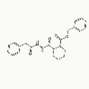 O=C(Cc1ccccc1)NNC(=O)C1CCCCN1C(=O)OCc1ccccc1